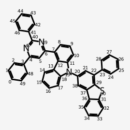 c1ccc(-c2cc(-c3cccc4c3c3ccccc3n4-c3cc(-c4ccccc4)c4sc5ccccc5c4c3)nc(-c3ccccc3)n2)cc1